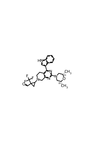 C[C@@H]1CN(c2nc3c(c(-c4c[nH]c5ccccc45)n2)CCN(C2CC2(C=O)C(F)(F)F)C3)C[C@H](C)O1